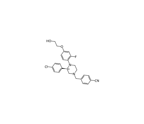 N#Cc1ccc(CN2CCN(c3ccc(OCCO)cc3F)[C@H](c3ccc(Cl)cc3)C2)cc1